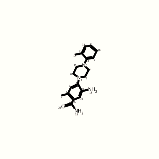 Cc1cc(N2CCN(c3ccccc3C)CC2)c(N)cc1C(N)=O